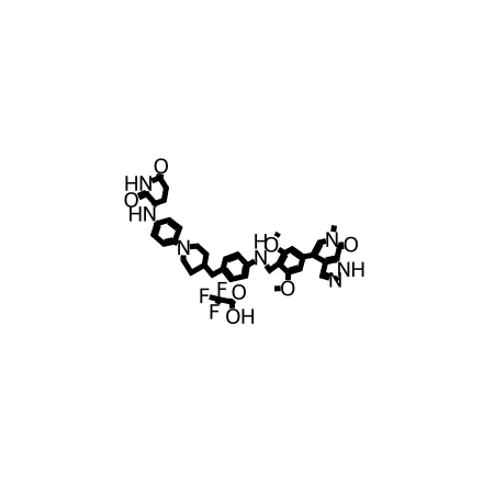 COc1cc(-c2cn(C)c(=O)c3[nH]ncc23)cc(OC)c1CNc1ccc(CC2CCN(c3ccc(NC4CCC(=O)NC4=O)cc3)CC2)cc1.O=C(O)C(F)(F)F